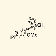 COc1cc(CC(=O)C(C)C)ccc1C#Cc1cn(C)c2ccccc12